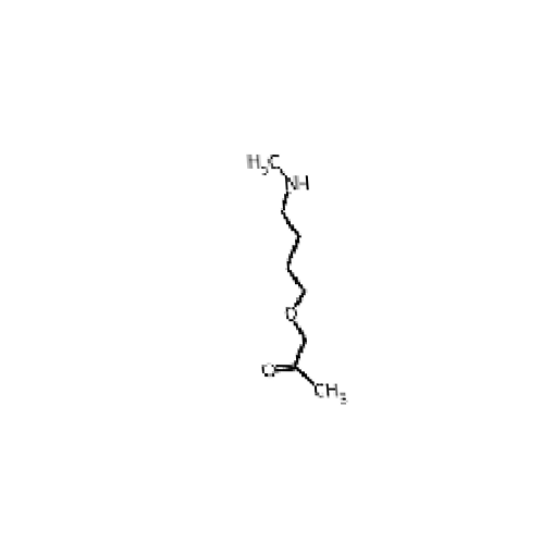 CNCCCCOCC(C)=O